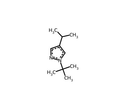 CC(C)c1cnn(C(C)(C)C)c1